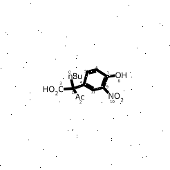 CCCCC(C(C)=O)(C(=O)O)c1ccc(O)c([N+](=O)[O-])c1